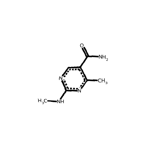 CNc1ncc(C(N)=O)c(C)n1